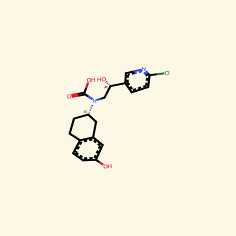 O=C(O)N(C[C@H](O)c1ccc(Cl)nc1)[C@H]1CCc2ccc(O)cc2C1